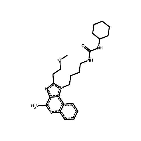 COCCc1nc2c(N)nc3ccccc3c2n1CCCCNC(=O)NC1CCCCC1